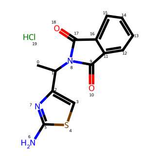 CC(c1csc(N)n1)N1C(=O)c2ccccc2C1=O.Cl